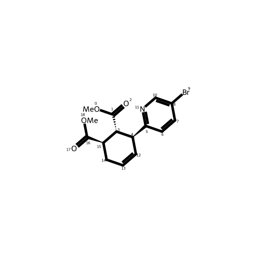 COC(=O)[C@@H]1[C@@H](c2ccc(Br)cn2)C=CC[C@H]1C(=O)OC